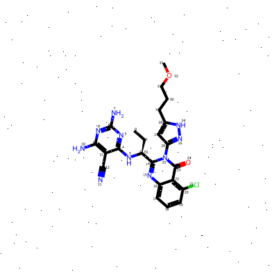 CC[C@H](Nc1nc(N)nc(N)c1C#N)c1nc2cccc(Cl)c2c(=O)n1-c1cc(CCCOC)[nH]n1